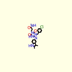 CNC(=O)CCn1c(=O)[nH]/c(=N\c2ccc3[nH]c(C)c(C)c3c2)n(Cc2ccc(Cl)cc2)c1=O